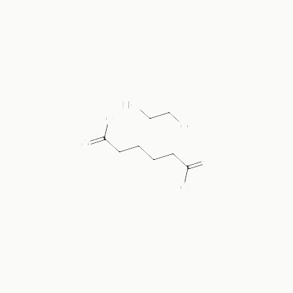 O=C(Cl)CCCCC(=O)Cl.OCCO